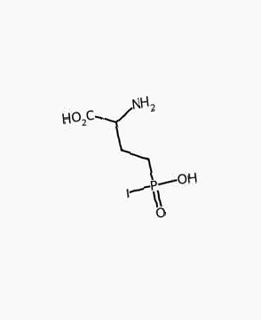 NC(CCP(=O)(O)I)C(=O)O